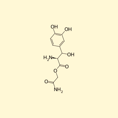 NC(=O)COC(=O)[C@@H](N)C(O)c1ccc(O)c(O)c1